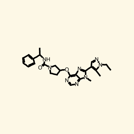 CCn1ncc(-c2nc3c(OC4CCN(C(=O)NC(C)c5ccccc5)C4)ncnc3n2C)c1C